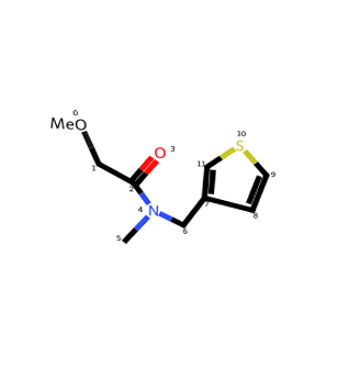 COCC(=O)N(C)Cc1ccsc1